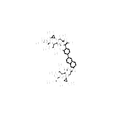 COC(=O)N[C@H](C(=O)N(Cc1nc2ccc3cc(-c4ccc(-c5[nH]c([C@H](C)N(C(=O)[C@@H](NC(=O)OC)C(C)C)[C@@H]6C(C)[C@@H]6C)nc5Cl)c(F)c4)ccc3c2[nH]1)[C@H]1C(C)[C@@H]1C)C(C)C